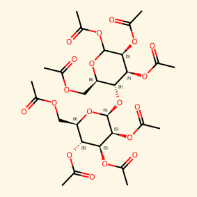 CC(=O)OC[C@H]1O[C@@H](O[C@H]2[C@H](OC(C)=O)[C@H](OC(C)=O)C(OC(C)=O)O[C@@H]2COC(C)=O)[C@@H](OC(C)=O)[C@@H](OC(C)=O)[C@@H]1OC(C)=O